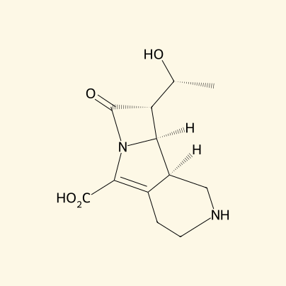 C[C@@H](O)[C@H]1C(=O)N2C(C(=O)O)=C3CCNC[C@@H]3[C@H]12